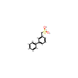 O=[SH](=O)Cc1cccc(-c2ccccc2)c1